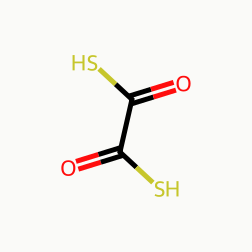 O=C(S)C(=O)S